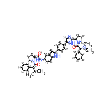 CC(C)[C](C(=O)N1CCC[C@H]1C(=O)Nc1ccc2[nH]c(-c3ccc(-c4cnc(C5CCCN5C(=O)C(c5ccccc5)N(C)C)[nH]4)cc3)cc2c1)c1ccccc1